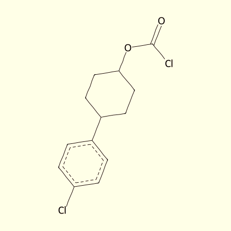 O=C(Cl)OC1CCC(c2ccc(Cl)cc2)CC1